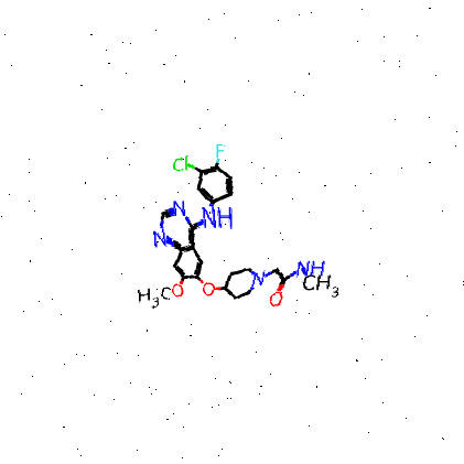 CNC(=O)CN1CCC(Oc2cc3c(Nc4ccc(F)c(Cl)c4)ncnc3cc2OC)CC1